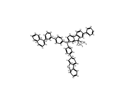 CC1(C)c2cc(-c3ccccc3)ccc2-c2ccc(N(c3ccc(-c4cccc(-c5cccc6ccccc56)c4)cc3)c3ccc(-c4ccc5c(c4)oc4ccccc45)cc3)cc21